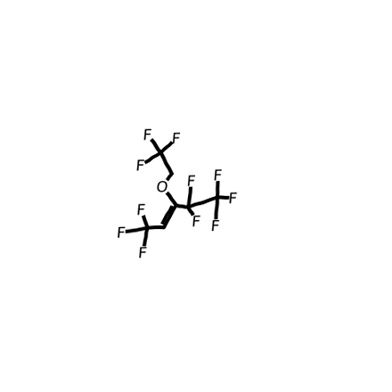 FC(F)(F)C=C(OCC(F)(F)F)C(F)(F)C(F)(F)F